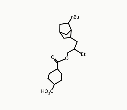 CCCCC1CC2CC(CC(CC)COC(=O)C3CCC(C(=O)O)CC3)C1C2